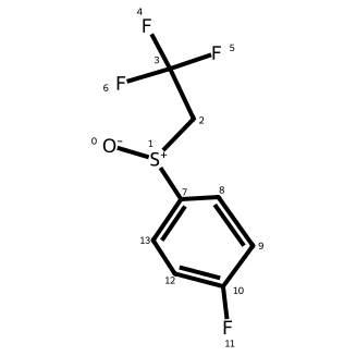 [O-][S+](CC(F)(F)F)c1ccc(F)cc1